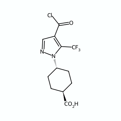 O=C(Cl)c1cnn([C@H]2CC[C@H](C(=O)O)CC2)c1C(F)(F)F